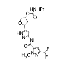 CC(C)NC(=O)O[C@H]1COC(c2cc(NC(=O)c3cc(C(F)F)nn3C)n[nH]2)C1